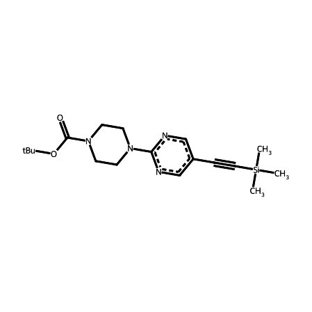 CC(C)(C)OC(=O)N1CCN(c2ncc(C#C[Si](C)(C)C)cn2)CC1